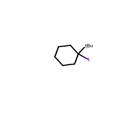 CC(C)(C)C1(I)CCCCC1